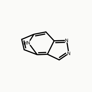 c1nnc2cc3ccc([nH]3)c1-2